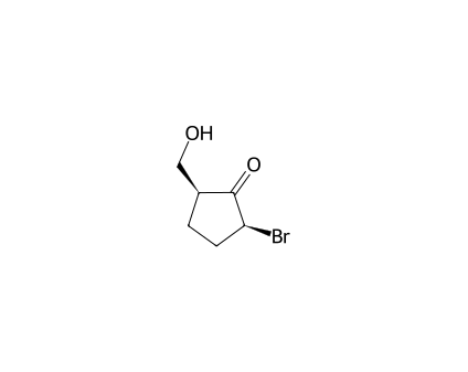 O=C1[C@H](CO)CC[C@@H]1Br